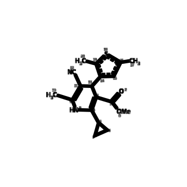 COC(=O)C1=C(C2CC2)NC(C)=C(C#N)C1c1cc(C)sc1C